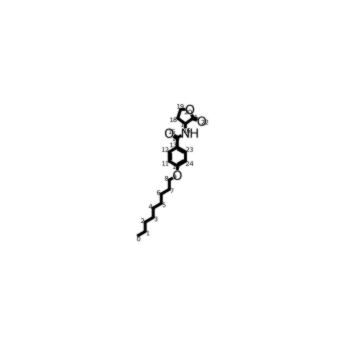 CCCCCCCCCOc1ccc(C(=O)NC2CCOC2=O)cc1